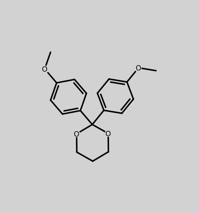 COc1ccc(C2(c3ccc(OC)cc3)OCCCO2)cc1